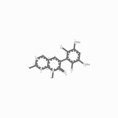 COc1cc(OC)c(Cl)c(-c2cc3cnc(C)nc3n(C)c2=O)c1Cl